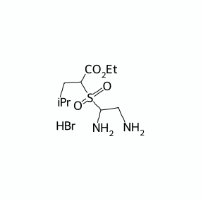 Br.CCOC(=O)C(CC(C)C)S(=O)(=O)C(N)CN